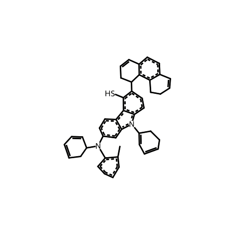 Cc1ccccc1N(c1ccc2c3c(S)c(C4CC=Cc5ccc6c(c54)CCC=C6)ccc3n(C3=CC=CCC3)c2c1)C1C=CC=CC1